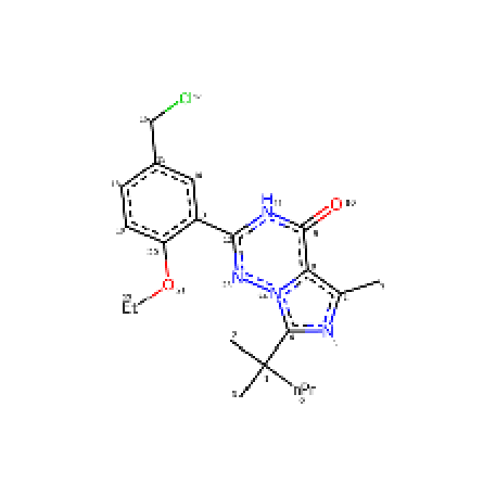 CCCC(C)(C)c1nc(C)c2c(=O)[nH]c(-c3cc(CCl)ccc3OCC)nn12